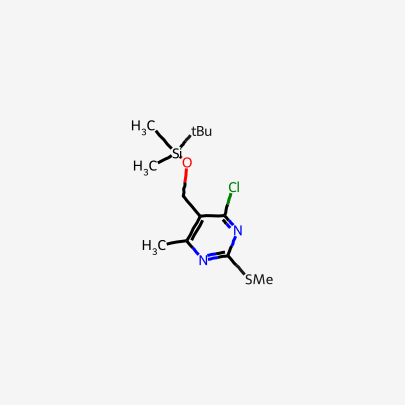 CSc1nc(C)c(CO[Si](C)(C)C(C)(C)C)c(Cl)n1